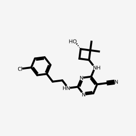 CC1(C)C(Nc2nc(NCCc3cccc(Cl)c3)ncc2C#N)C[C@@H]1O